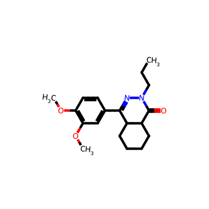 CCCN1N=C(c2ccc(OC)c(OC)c2)C2CCCCC2C1=O